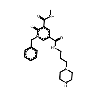 CNC(=O)c1cc(C(=O)NCCCN2CCNCC2)cn(Cc2ccccc2)c1=O